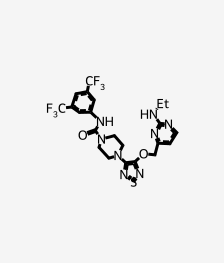 CCNc1nccc(COc2nsnc2N2CCN(C(=O)Nc3cc(C(F)(F)F)cc(C(F)(F)F)c3)CC2)n1